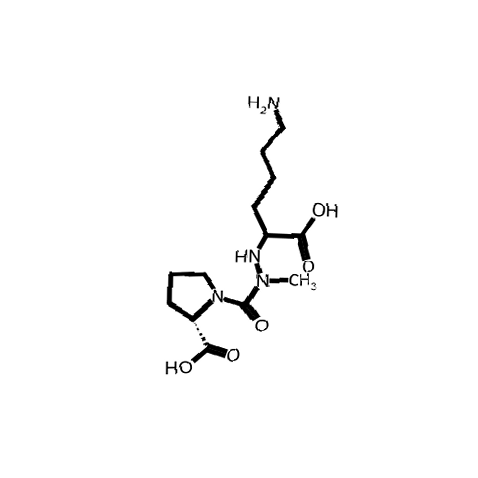 CN(NC(CCCCN)C(=O)O)C(=O)N1CCC[C@H]1C(=O)O